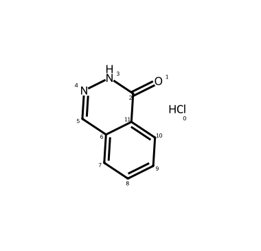 Cl.O=c1[nH]ncc2ccccc12